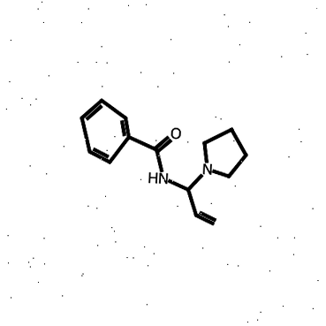 C=CC(NC(=O)c1ccccc1)N1CCCC1